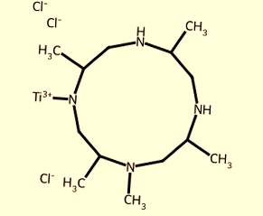 CC1CNC(C)CN(C)C(C)C[N]([Ti+3])C(C)CN1.[Cl-].[Cl-].[Cl-]